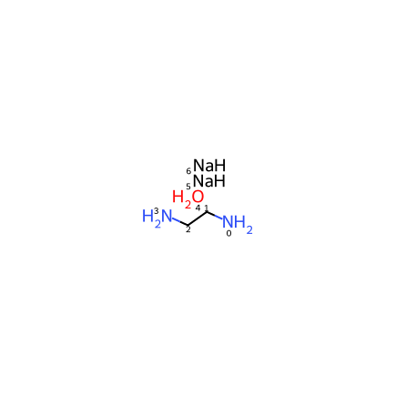 NCCN.O.[NaH].[NaH]